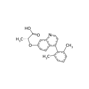 Cc1cccc(C)c1-c1ccnc2cc(O[C@H](C)C(=O)O)ccc12